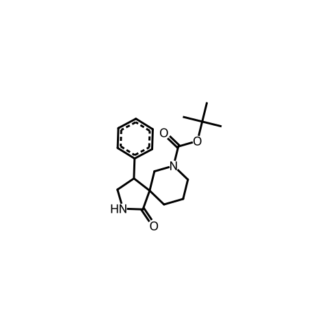 CC(C)(C)OC(=O)N1CCCC2(C1)C(=O)NCC2c1ccccc1